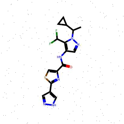 CC(C1CC1)n1ncc(NC(=O)c2csc(-c3cn[nH]c3)n2)c1C(F)F